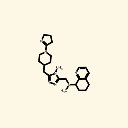 CN(Cc1nnc(CC2CCN(C3=NCCC3)CC2)n1C)C1CCCc2cccnc21